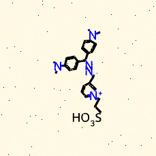 CN(C)c1ccc(C(=NN=Cc2ccc[n+](CCCS(=O)(=O)O)c2)c2ccc(N(C)C)cc2)cc1